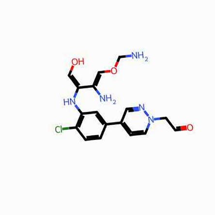 NCO/C=C(N)/C(=C\O)Nc1cc(C2=C=CN(CC=O)N=C2)ccc1Cl